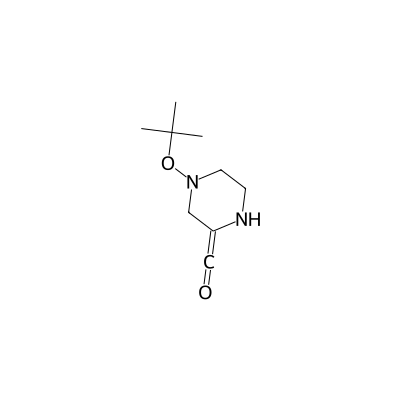 CC(C)(C)ON1CCNC(=C=O)C1